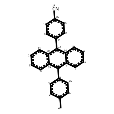 Cc1ccc(-c2c3ccccc3c(-c3ccc(C#N)cc3)c3ccccc23)cc1